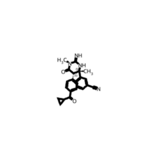 CN1C(=N)N[C@](C)(c2cccc(C#N)c2)[C@H](c2ccc(C(=O)C3CC3)cc2)C1=O